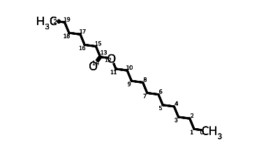 CCCCCCCCCCCCOC(=O)CCCCCC